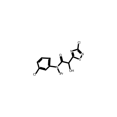 CC(C)N(C(=O)C(O)c1nc(Cl)ns1)c1cccc(Cl)c1